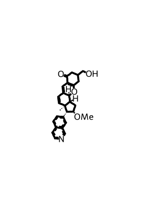 CO[C@@H]1C[C@H]2[C@@H]3OC4=C(C=C3C=C[C@]2(C)[C@H]1c1ccc2ccncc2c1)C(=O)CC(CO)C4